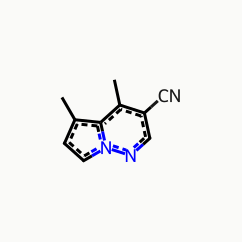 Cc1ccn2ncc(C#N)c(C)c12